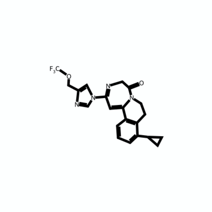 O=C1CN=C(n2cnc(COC(F)(F)F)c2)C=C2c3cccc(C4CC4)c3CCN12